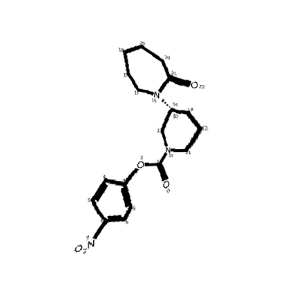 O=C(Oc1ccc([N+](=O)[O-])cc1)N1CCC[C@@H](N2CCCCCC2=O)C1